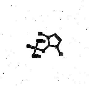 CCN1C=CN(CC)C1OP(=O)(OC)OC